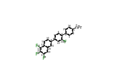 CCCc1ccc(-c2ccc(-c3ccc4c(F)c(F)c(F)cc4c3)cc2F)cc1